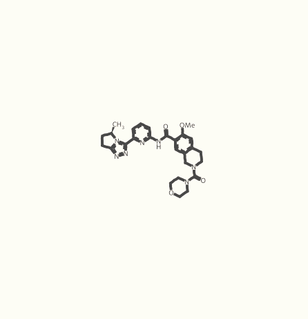 COc1cc2c(cc1C(=O)Nc1cccc(-c3nnc4n3[C@H](C)CC4)n1)CN(C(=O)N1CCOCC1)CC2